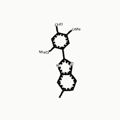 COc1cc(-c2nc3cc(C)ccc3o2)c(OC)cc1C=O